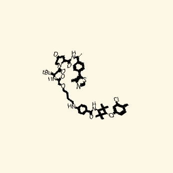 Cc1ccc(O[C@H]2C(C)(C)[C@H](NC(=O)c3ccc(NCCCCOCC(=O)NC(C(=O)N4CC(=O)CC4C(=O)N[C@H](C)c4ccc(-c5scnc5C)cc4)C(C)(C)C)cc3)C2(C)C)cc1Cl